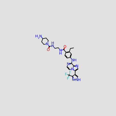 CCc1cc(Nc2nccn3c(-c4c[nH]nc4C(F)(F)F)cnc23)ccc1C(=O)NCCNC(=O)N1CCC(N)CC1